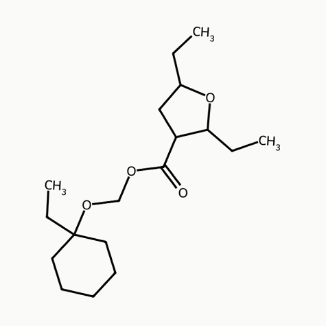 CCC1CC(C(=O)OCOC2(CC)CCCCC2)C(CC)O1